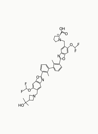 Cc1c(-c2nc3cc(CN4CC(C(C)(C)O)C4)c(OC(F)F)cc3o2)cccc1-c1cccc(-c2nc3cc(CN4CCC[C@H]4C(=O)O)c(OC(F)F)cc3o2)c1C